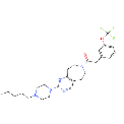 CCCCCN1CCN(c2ncc3c(n2)CCN(C(=O)Cc2cccc(OC(F)(F)F)c2)CC3)CC1